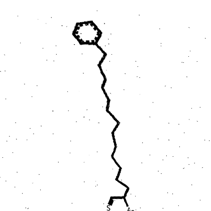 CC(=O)C(C=S)CCCCCCCCCCCCCc1ccccc1